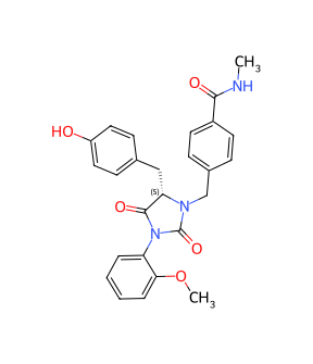 CNC(=O)c1ccc(CN2C(=O)N(c3ccccc3OC)C(=O)[C@@H]2Cc2ccc(O)cc2)cc1